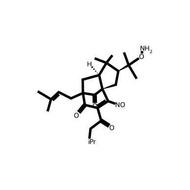 CC(C)=CCC12C[C@H]3C(C)(C)[C@@H](C(C)(C)ON)C[C@]3(C1=O)C(N=O)=C(C(=O)CC(C)C)C2=O